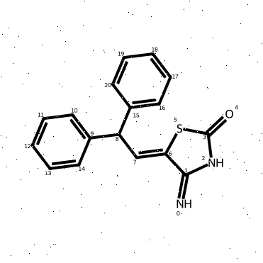 N=C1NC(=O)S/C1=C\C(c1ccccc1)c1ccccc1